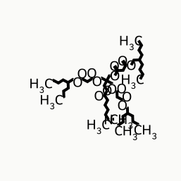 CCCCC(CCCC)COC(=O)CC(=O)OCC(COC(=O)CCCCN(C)C)(COC(=O)CC(=O)OCC(CCCC)CCCC)COC(=O)CC(=O)OCC(CCCC)CCCC